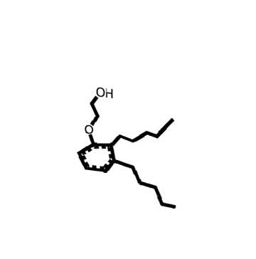 CCCCCc1cccc(OCCO)c1CCCCC